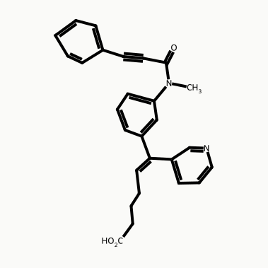 CN(C(=O)C#Cc1ccccc1)c1cccc(C(=CCCCC(=O)O)c2cccnc2)c1